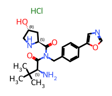 CC(C)(C)[C@H](N)C(=O)N(Cc1ccc(-c2cnco2)cc1)C(=O)[C@@H]1C[C@@H](O)CN1.Cl